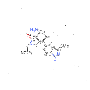 C=C(C#N)CN1Cc2c(-c3ccc4[nH]nc(SC)c4c3)ccc(N)c2C1=O